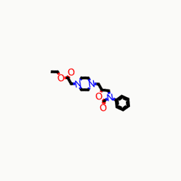 CCOC(=O)CN1CCN(CC2CN(c3ccccc3)C(=O)O2)CC1